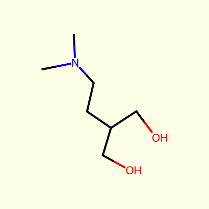 CN(C)CCC(CO)CO